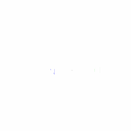 Cc1ccc(-c2ccc(CCl)cc2)nc1